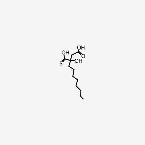 CCCCCCCCC(O)(CC(=O)O)C(O)=S